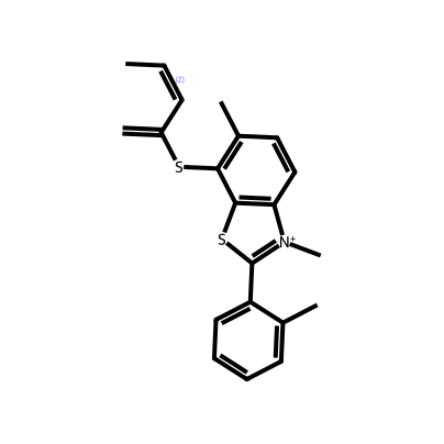 C=C(/C=C\C)Sc1c(C)ccc2c1sc(-c1ccccc1C)[n+]2C